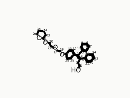 OCC/C(=C(/c1ccccc1)c1ccc(OCCOCCOC2CCCCO2)cc1)c1ccccc1